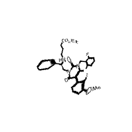 CCOC(=O)CCCN[C@@H](Cn1c(=O)c(-c2cccc(OC)c2F)c(C)n(Cc2c(C)cccc2F)c1=O)c1ccccc1